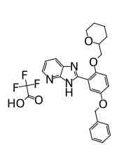 O=C(O)C(F)(F)F.c1ccc(COc2ccc(OCC3CCCCO3)c(-c3nc4cccnc4[nH]3)c2)cc1